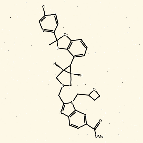 COC(=O)c1ccc2nc(CN3C[C@@H]4C(c5cccc6c5OC(C)(c5ccc(Cl)cn5)O6)[C@@H]4C3)n(CC3CCO3)c2c1